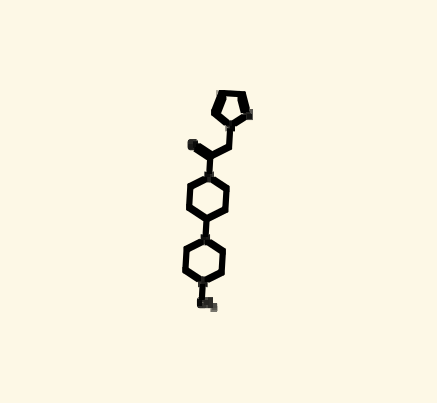 CN1CCN(C2CCN(C(=O)Cn3c[c]cn3)CC2)CC1